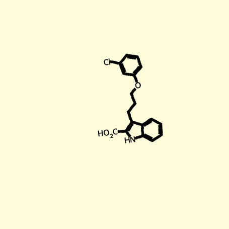 O=C(O)c1[nH]c2ccccc2c1CCCOc1cccc(Cl)c1